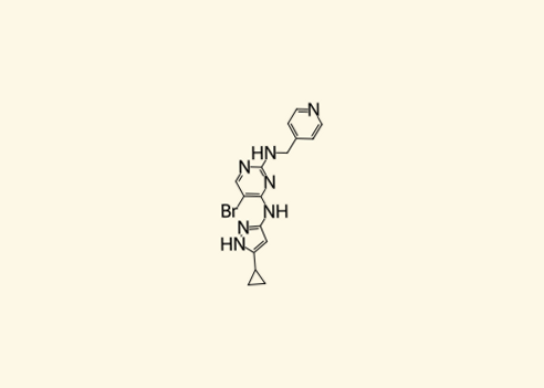 Brc1cnc(NCc2ccncc2)nc1Nc1cc(C2CC2)[nH]n1